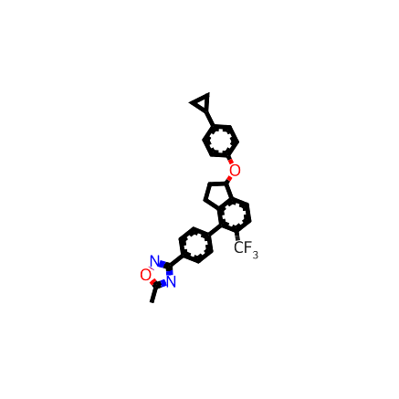 Cc1nc(-c2ccc(-c3c(C(F)(F)F)ccc4c3CCC4Oc3ccc(C4CC4)cc3)cc2)no1